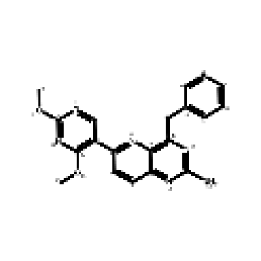 COc1ncc(-c2ccc3nc(N)nc(Cc4ccccc4)c3n2)c(OC)n1